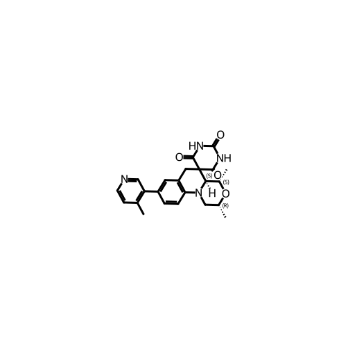 Cc1ccncc1-c1ccc2c(c1)CC1(C(=O)NC(=O)NC1=O)[C@H]1[C@H](C)O[C@H](C)CN21